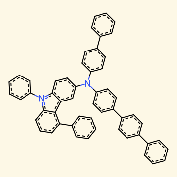 c1ccc(-c2ccc(-c3ccc(N(c4ccc(-c5ccccc5)cc4)c4ccc5c(c4)c4c(-c6ccccc6)cccc4n5-c4ccccc4)cc3)cc2)cc1